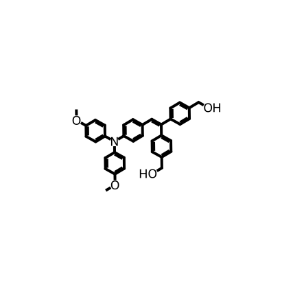 COc1ccc(N(c2ccc(C=C(c3ccc(CO)cc3)c3ccc(CO)cc3)cc2)c2ccc(OC)cc2)cc1